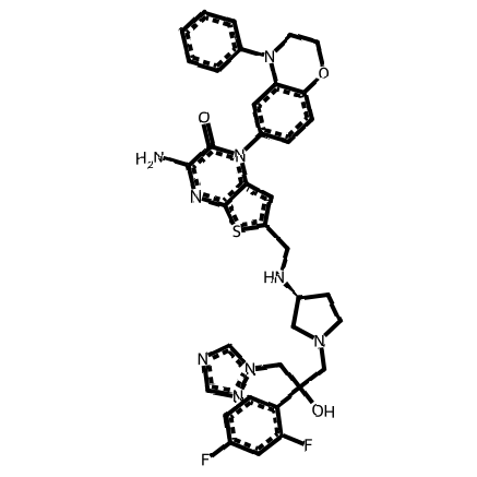 Nc1nc2sc(CN[C@H]3CCN(CC(O)(Cn4cncn4)c4ccc(F)cc4F)C3)cc2n(-c2ccc3c(c2)N(c2ccccc2)CCO3)c1=O